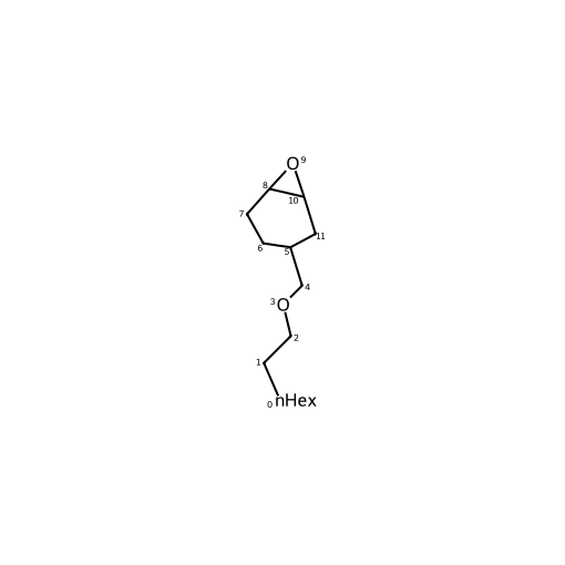 CCCCCCCCOCC1CCC2OC2C1